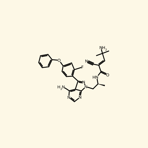 C[C@@H](Cn1nc(-c2ccc(Oc3ccccc3)cc2F)c2c(N)ncnc21)NC(=O)/C(C#N)=C/C(C)(C)N